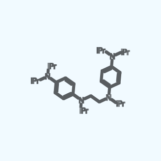 CC(C)N(CCN(c1ccc(N(C(C)C)C(C)C)cc1)C(C)C)c1ccc(N(C(C)C)C(C)C)cc1